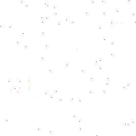 CCCCCCCCCCCCCCCCCCc1ccccc1PO